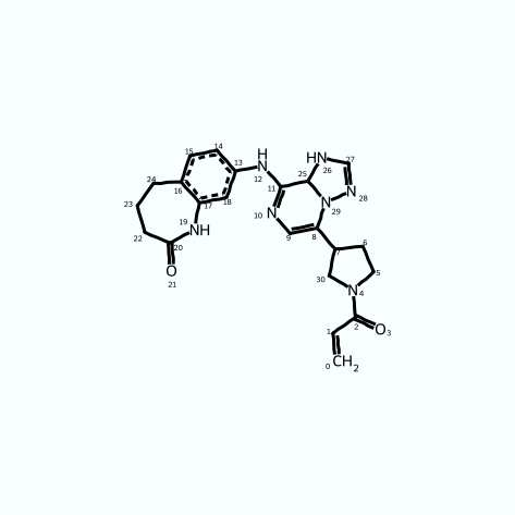 C=CC(=O)N1CCC(C2=CN=C(Nc3ccc4c(c3)NC(=O)CCC4)C3NC=NN23)C1